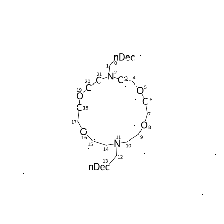 CCCCCCCCCCCN1CCOCCOCCN(CCCCCCCCCCC)CCOCCOCC1